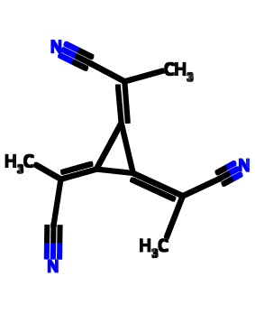 CC(C#N)=C1C(=C(C)C#N)C1=C(C)C#N